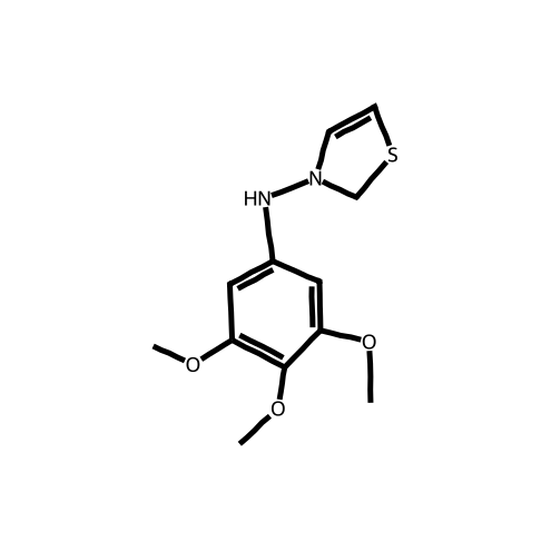 COc1cc(NN2C=CSC2)cc(OC)c1OC